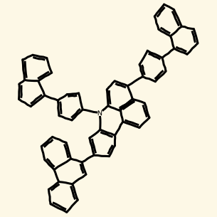 c1ccc(-c2ccc(-c3cc4ccccc4c4ccccc34)cc2N(c2ccc(-c3ccc(-c4cccc5ccccc45)cc3)cc2)c2ccc(-c3cccc4ccccc34)cc2)cc1